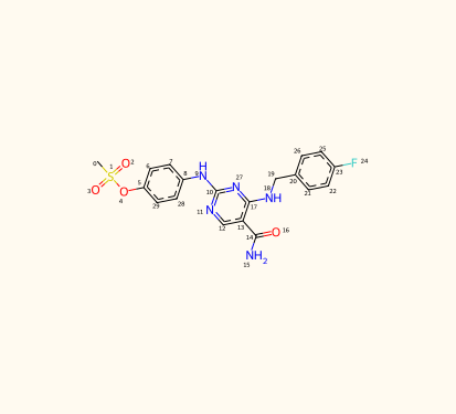 CS(=O)(=O)Oc1ccc(Nc2ncc(C(N)=O)c(NCc3ccc(F)cc3)n2)cc1